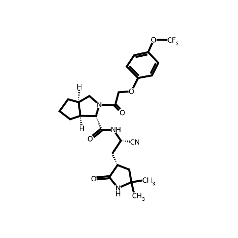 CC1(C)C[C@@H](C[C@@H](C#N)NC(=O)[C@@H]2[C@H]3CCC[C@H]3CN2C(=O)COc2ccc(OC(F)(F)F)cc2)C(=O)N1